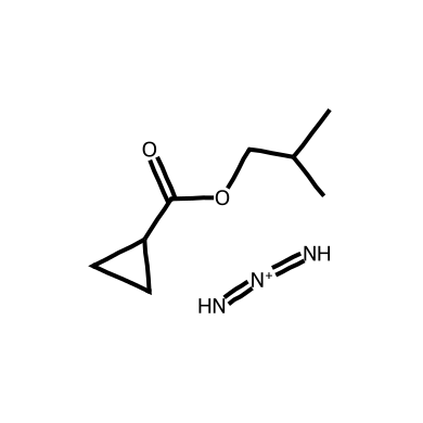 CC(C)COC(=O)C1CC1.N=[N+]=N